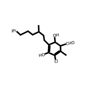 CC1=C(Cl)C(O)=C(CCC(C)CCCC(C)C)C(O)C1C=O